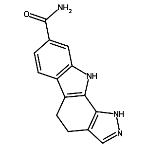 NC(=O)c1ccc2c3c([nH]c2c1)-c1[nH]ncc1CC3